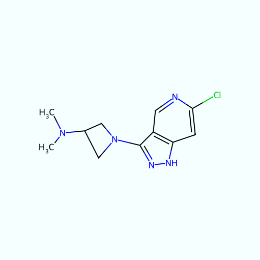 CN(C)C1CN(c2n[nH]c3cc(Cl)ncc23)C1